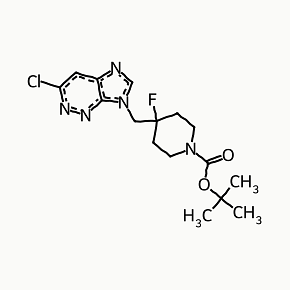 CC(C)(C)OC(=O)N1CCC(F)(Cn2cnc3cc(Cl)nnc32)CC1